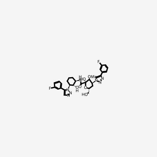 CO[C@@H]1[C@@H](n2cc(-c3cccc(F)c3)nn2)C[C@H](CO)O[C@@]1(O)C(=O)N[C@@H]1CCC[C@H](n2nncc2-c2cccc(F)c2)[C@H]1O